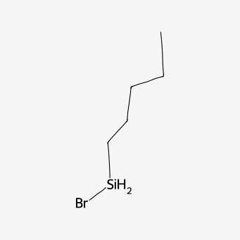 CCCCC[SiH2]Br